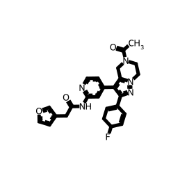 CC(=O)N1CCn2nc(C3=CCC(F)C=C3)c(-c3ccnc(NC(=O)Cc4ccoc4)c3)c2C1